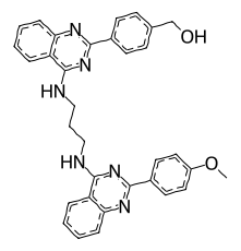 COc1ccc(-c2nc(NCCCNc3nc(-c4ccc(CO)cc4)nc4ccccc34)c3ccccc3n2)cc1